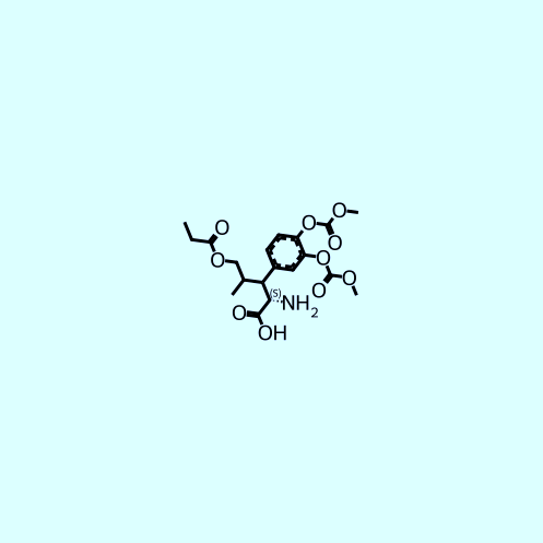 CCC(=O)OCC(C)C(c1ccc(OC(=O)OC)c(OC(=O)OC)c1)[C@H](N)C(=O)O